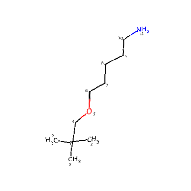 CC(C)(C)COCCCCCN